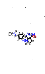 CCN(CC)Cc1ccc(-c2n[nH]c(=O)c3c2NCCC3)cc1